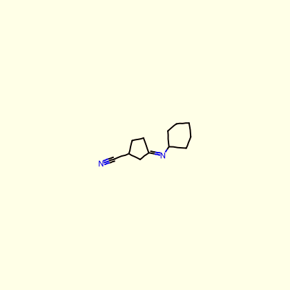 N#CC1CC/C(=N\C2CCCCC2)C1